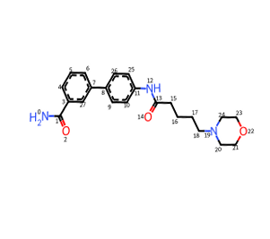 NC(=O)c1cccc(-c2ccc(NC(=O)CCCCN3CCOCC3)cc2)c1